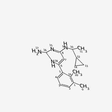 Cc1cccc(C2=CC(NC(C)C3CC3)=NC(N)N2)c1C